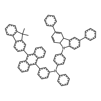 CC1(C)c2ccccc2-c2ccc(-c3c4ccccc4c(-c4cccc(N(c5ccccc5)c5ccc(N6c7ccc(-c8ccccc8)cc7C7C=C(c8ccccc8)C=CC76)cc5)c4)c4ccccc34)cc21